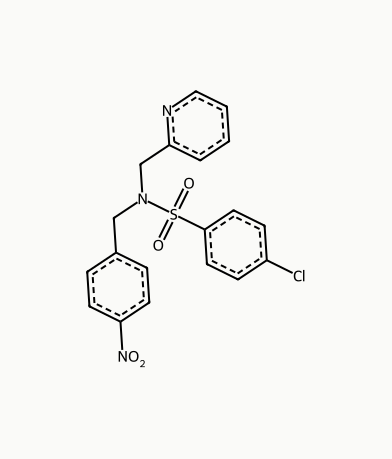 O=[N+]([O-])c1ccc(CN(Cc2ccccn2)S(=O)(=O)c2ccc(Cl)cc2)cc1